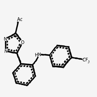 CC(=O)c1nnc(-c2ccccc2Nc2ccc(C(F)(F)F)cc2)o1